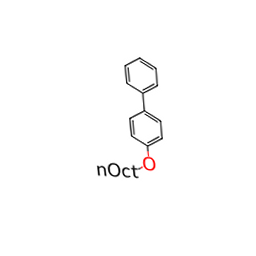 [CH2]CCCCCCCOc1ccc(-c2ccccc2)cc1